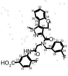 Cn1nc(C(=O)N(CC(=O)Nc2cc(C(=O)O)ccc2F)Cc2cccc(F)c2)c2c1-c1ccccc1OC2